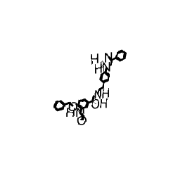 NC(CNc1ccc(CCNC[C@H](O)c2ccc(OCc3ccccc3)c(NC=O)c2)cc1)c1ccccc1